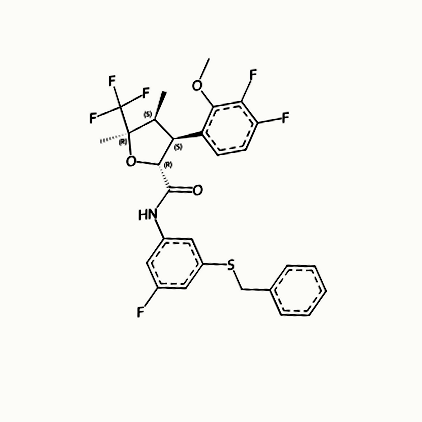 COc1c([C@H]2[C@H](C(=O)Nc3cc(F)cc(SCc4ccccc4)c3)O[C@@](C)(C(F)(F)F)[C@H]2C)ccc(F)c1F